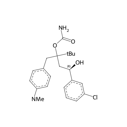 CNc1ccc(CC(C[C@@H](O)c2cccc(Cl)c2)(OC(N)=O)C(C)(C)C)cc1